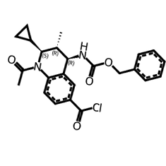 CC(=O)N1c2ccc(C(=O)Cl)cc2[C@H](NC(=O)OCc2ccccc2)[C@@H](C)[C@@H]1C1CC1